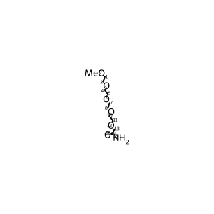 COCCOCCOCCOCCOCC(N)=O